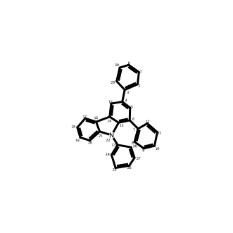 c1ccc(-c2cc(-c3ccccc3)c3c(c2)c2ccccc2n3-c2ccccc2)cc1